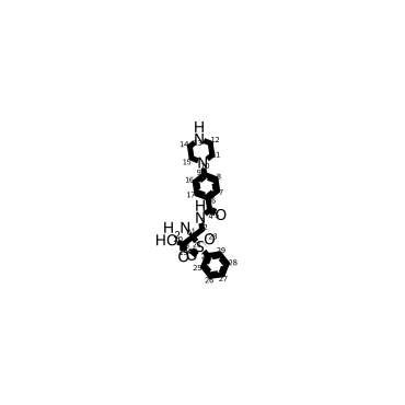 N[C@](CNC(=O)c1ccc(N2CCNCC2)cc1)(C(=O)O)S(=O)(=O)c1ccccc1